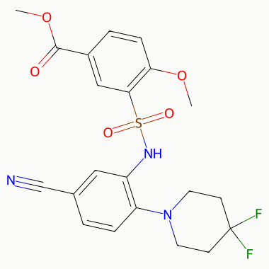 COC(=O)c1ccc(OC)c(S(=O)(=O)Nc2cc(C#N)ccc2N2CCC(F)(F)CC2)c1